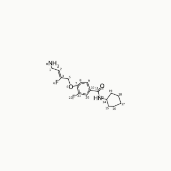 NC/C=C(\F)COc1ccc(C(=O)NC2CCCCC2)cc1F